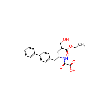 CCOC(=O)[C@H](CO)C[C@@H](Cc1ccc(-c2ccccc2)cc1)NC(=O)C(=O)O